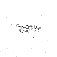 COC(=O)c1csc([S+]([O-])Nc2ccc(-c3cn(C4CCCC4)c4ncnc(N)c34)cc2F)c1OC